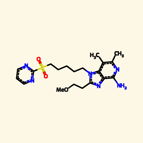 COCCc1nc2c(N)nc(C)c(C)c2n1CCCCCS(=O)(=O)c1ncccn1